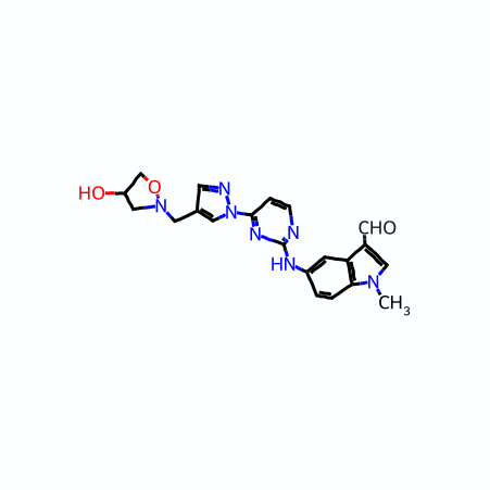 Cn1cc(C=O)c2cc(Nc3nccc(-n4cc(CN5CC(O)CO5)cn4)n3)ccc21